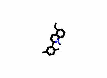 CCc1cccc2c1ccc(-c1cc(C)ccc1C)[n+]2C